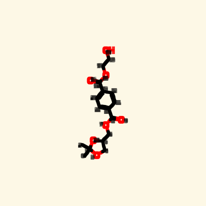 CC1(C)OCC(COC(=O)c2ccc(C(=O)OCCO)cc2)O1